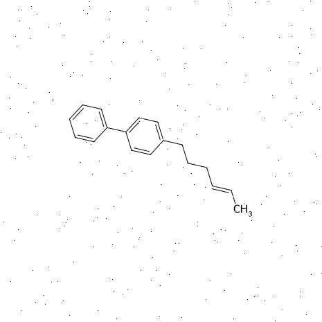 CC=CCCCc1ccc(-c2ccccc2)cc1